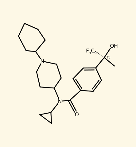 C[C@](O)(c1ccc(C(=O)N(C2CC2)C2CCN(C3CCCCC3)CC2)cc1)C(F)(F)F